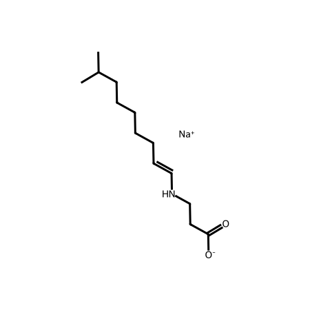 CC(C)CCCCCC=CNCCC(=O)[O-].[Na+]